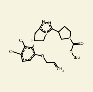 C=CCOc1ccc(Cl)c(Cl)c1[C@@H]1Cc2nnc(C3CCN(C(=O)OC(C)(C)C)C3)n2C1